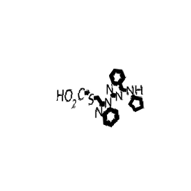 O=C(O)CSCc1nc2ccccc2n1-c1nc(NC2CCCC2)c2ccccc2n1